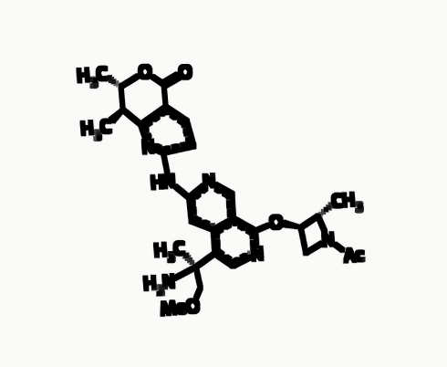 COC[C@@](C)(N)c1cnc(O[C@@H]2CN(C(C)=O)[C@H]2C)c2cnc(Nc3ccc4c(n3)[C@@H](C)[C@H](C)OC4=O)cc12